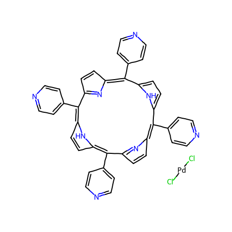 C1=Cc2nc1c(-c1ccncc1)c1ccc([nH]1)c(-c1ccncc1)c1nc(c(-c3ccncc3)c3ccc([nH]3)c2-c2ccncc2)C=C1.[Cl][Pd][Cl]